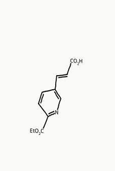 CCOC(=O)c1ccc(C=CC(=O)O)cn1